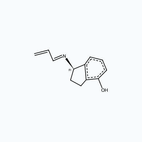 C=CC=N[C@@H]1CCc2c(O)cccc21